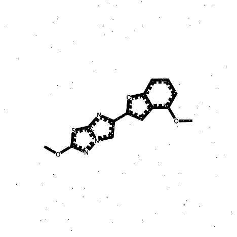 COc1nn2cc(-c3cc4c(OC)cccc4o3)nc2s1